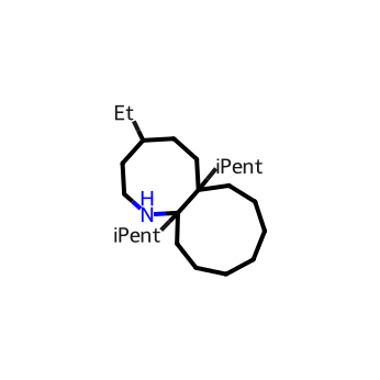 CCCC(C)C12CCCCCCCC1(C(C)CCC)NCCC(CC)CC2